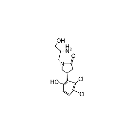 N[C@@H](CO)CN1C[C@H](c2c(O)ccc(Cl)c2Cl)CC1=O